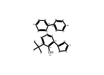 CC(C)(C)c1cccc(C2=CC=CC2)c1O.c1ccc(-c2ccccc2)cc1